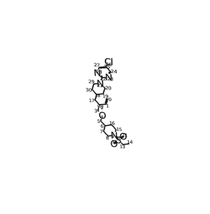 C=C[C@@H](COCC1CCN(S(=O)(=O)CC)CC1)CC1CCN(c2ncc(Cl)cn2)CC1